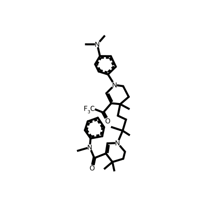 CN(C)c1ccc(N2C=C(C(=O)C(F)(F)F)C(C)(CCC(C)(C)N3C=C(C(=O)N(C)c4ccccc4)C(C)(C)CC3)CC2)cc1